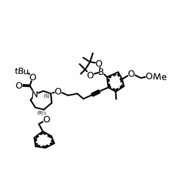 COCOc1cc(C)c(C#CCCCO[C@H]2C[C@H](OCc3ccccc3)CCN(C(=O)OC(C)(C)C)C2)c(B2OC(C)(C)C(C)(C)O2)c1